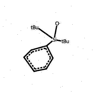 CC(C)(C)[Si]([O])(c1ccccc1)C(C)(C)C